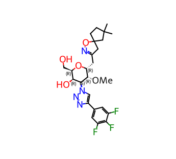 CO[C@@H]1[C@@H](n2cc(-c3cc(F)c(F)c(F)c3)nn2)[C@@H](O)[C@@H](CO)O[C@@H]1CC1=NOC2(CCC(C)(C)C2)C1